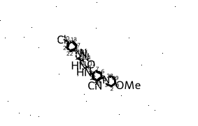 COC1CCN(c2ccc(NC(=O)Nc3cn(-c4ccc(Cl)cc4)nn3)cc2C#N)CC1